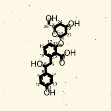 O=C(O)c1c(CC(O)c2ccc(O)cc2)cccc1O[C@H]1CC(O)C[C@@H](CO)O1